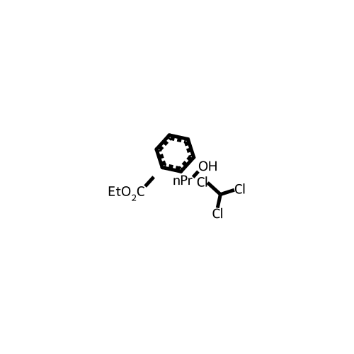 CCCO.CCOC(C)=O.ClC(Cl)Cl.c1ccccc1